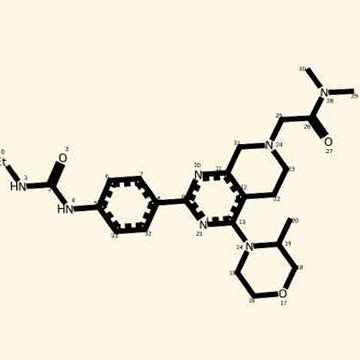 CCNC(=O)Nc1ccc(-c2nc3c(c(N4CCOCC4C)n2)CCN(CC(=O)N(C)C)C3)cc1